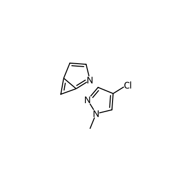 Cn1cc(Cl)cn1.c1cc2cc-2n1